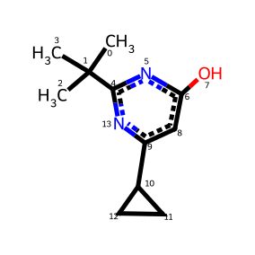 CC(C)(C)c1nc(O)cc(C2CC2)n1